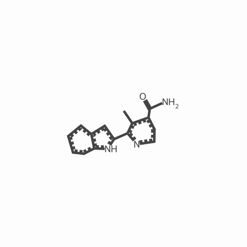 Cc1c(C(N)=O)ccnc1-c1cc2ccccc2[nH]1